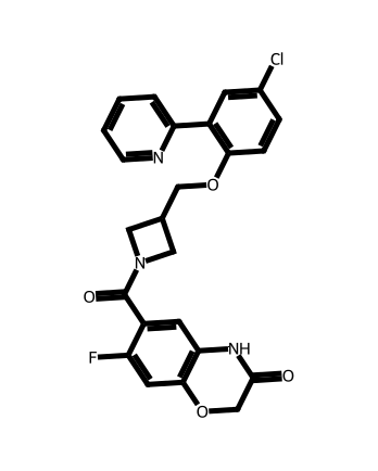 O=C1COc2cc(F)c(C(=O)N3CC(COc4ccc(Cl)cc4-c4ccccn4)C3)cc2N1